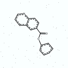 O=C(Oc1ccccc1)c1ccc2ncccc2c1